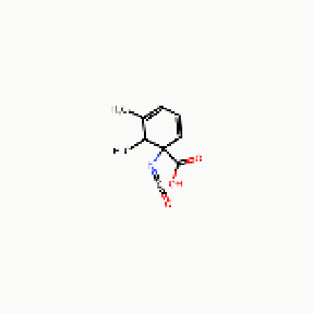 CC1=CC=CC(N=C=O)(C(=O)O)C1C